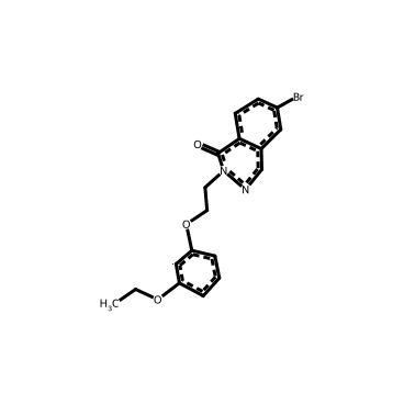 CCOc1[c]c(OCCn2ncc3cc(Br)ccc3c2=O)ccc1